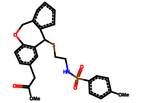 COC(=O)Cc1ccc2c(c1)C(SCCNS(=O)(=O)c1ccc(OC)cc1)c1ccccc1CO2